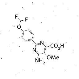 COc1c(N)nc(-c2ccc(OC(F)F)cc2)nc1C(=O)O